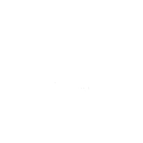 CC1(C)CCC(C(=O)O)C2=CC=C(Cl)CC21